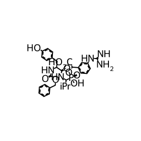 CC(C)C(NC(=O)C(Cc1ccc(O)cc1)NC(=O)OCc1ccccc1)P(=O)(O)OC(C(=O)O)c1cccc(NC(=N)N)c1